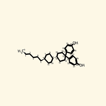 CCCCCC[C@H]1CC[C@H](C2CCC(c3ccc(O)cc3)(c3ccc(O)cc3)CC2)CC1